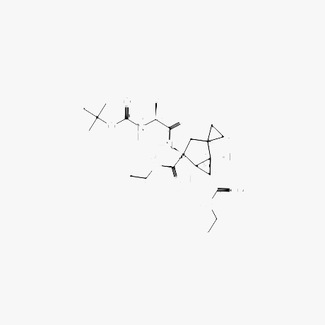 CCOC(=O)[C@H]1[C@H]2[C@@H]1[C@](NC(=O)[C@H](C)NC(=O)OC(C)(C)C)(C(=O)OCC)CC21CC1